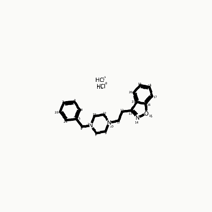 Cl.Cl.c1ccc(CN2CCN(CCc3noc4ccccc34)CC2)cc1